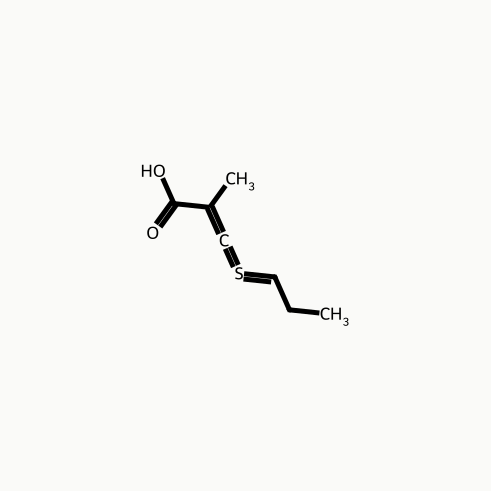 CCC=S=C=C(C)C(=O)O